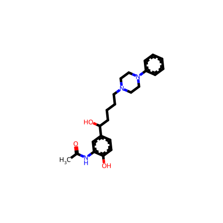 CC(=O)Nc1cc(C(O)CCCCN2CCN(c3ccccc3)CC2)ccc1O